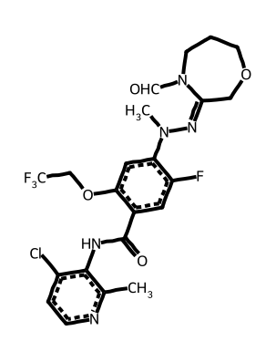 Cc1nccc(Cl)c1NC(=O)c1cc(F)c(N(C)/N=C2/COCCCN2C=O)cc1OCC(F)(F)F